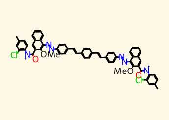 COc1c(C(=O)N(C)c2ccc(C)cc2Cl)cc2ccccc2c1N=Nc1ccc(C=Cc2ccc(C=Cc3ccc(N=Nc4c(OC)c(C(=O)N(C)c5ccc(C)cc5Cl)cc5ccccc45)cc3)cc2)cc1